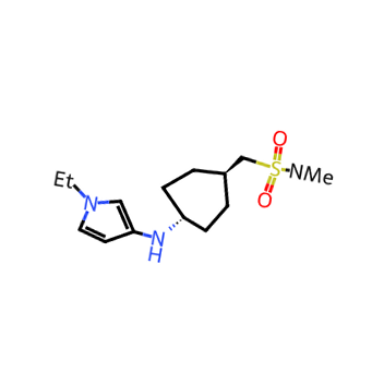 CCn1ccc(N[C@H]2CC[C@H](CS(=O)(=O)NC)CC2)c1